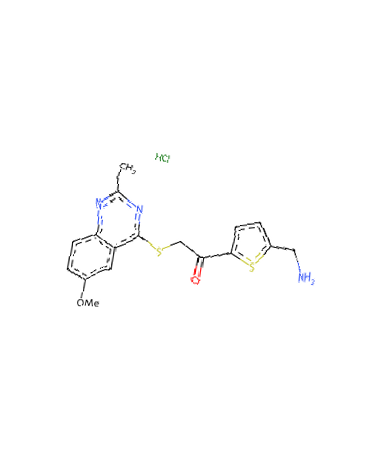 COc1ccc2nc(C)nc(SCC(=O)c3ccc(CN)s3)c2c1.Cl